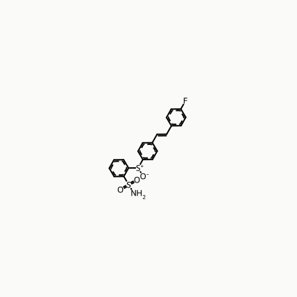 NS(=O)(=O)c1ccccc1[S+]([O-])c1ccc(C=Cc2ccc(F)cc2)cc1